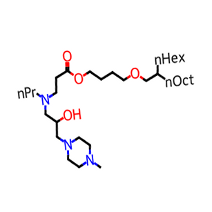 CCCCCCCCC(CCCCCC)COCCCCOC(=O)CCN(CCC)CC(O)CN1CCN(C)CC1